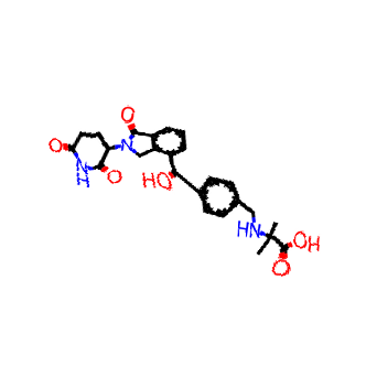 CC(C)(NCc1ccc(C(O)c2cccc3c2CN(C2CCC(=O)NC2=O)C3=O)cc1)C(=O)O